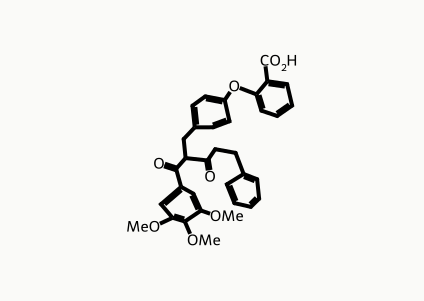 COc1cc(C(=O)C(Cc2ccc(Oc3ccccc3C(=O)O)cc2)C(=O)CCc2ccccc2)cc(OC)c1OC